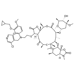 COc1ccc(N(CCSC2C(=O)O[C@@]3(C)[C@H]2[C@@H](C)C(=O)[C@H](C)C[C@@](C)(OC)[C@H](O[C@@H]2O[C@H](C)C[C@H]4[C@H]2OC(=O)N4C)[C@@H](C)[C@H](O[C@H]2C[C@@](C)(OC)[C@@H](O)[C@H](C)O2)[C@@H](C)C(=O)O[C@@H]3I)Cc2c(Cl)cncc2Cl)cc1OCC1CC1